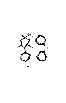 CC1=CC(C)(N)CC(C)=C1c1ccc(N)cc1.c1ccc(Pc2ccccc2)cc1